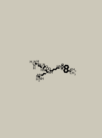 CN(C)c1cccc2c(S(=O)(=O)NCCCCCC(=O)N[C@H](CCCNC(=N)N)C(=O)N[C@H](CCCNC(=N)N)C(N)=O)cccc12